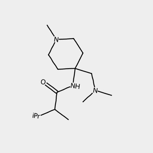 CC(C)C(C)C(=O)NC1(CN(C)C)CCN(C)CC1